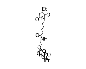 CCC1CC(=O)N(CCCCCC(=O)NCCO[PH](=O)O[PH](=O)OC(C)C)C1=O